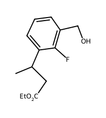 CCOC(=O)CC(C)c1cccc(CO)c1F